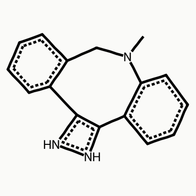 CN1Cc2ccccc2-c2[nH][nH]c2-c2ccccc21